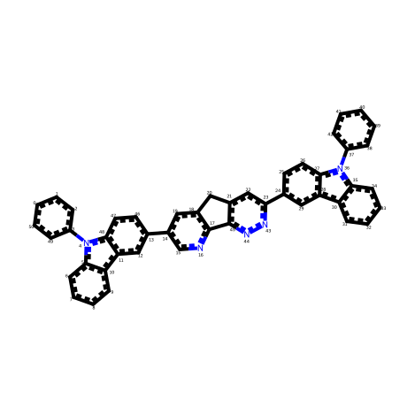 c1ccc(-n2c3ccccc3c3cc(-c4cnc5c(c4)Cc4cc(-c6ccc7c(c6)c6ccccc6n7-c6ccccc6)nnc4-5)ccc32)cc1